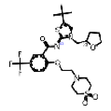 CC(C)(C)c1cn(C[C@H]2CCCO2)/c(=N/C(=O)c2cc(C(F)(F)F)ccc2OCCN2CCS(=O)(=O)CC2)s1